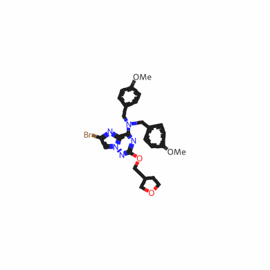 COc1ccc(CN(Cc2ccc(OC)cc2)c2nc(OCC3CCOC3)nn3cc(Br)nc23)cc1